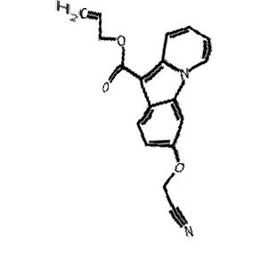 C=CCOC(=O)c1c2ccc(OCC#N)cc2n2ccccc12